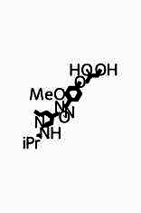 COc1cc(OC[C@@H](O)CO)ccc1-c1noc(-c2cc(C)nc(NCC(C)C)c2)n1